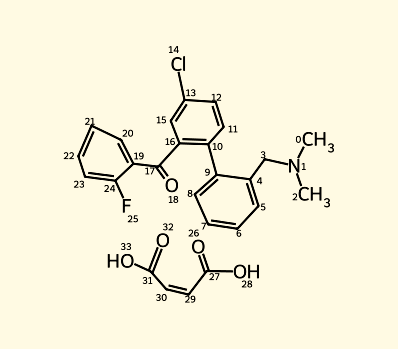 CN(C)Cc1ccccc1-c1ccc(Cl)cc1C(=O)c1ccccc1F.O=C(O)/C=C\C(=O)O